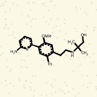 CCc1cc(-c2cccc(N)n2)c(OC)cc1CCNC(C)(C)CO